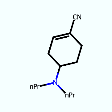 CCCN(CCC)C1CC=C(C#N)CC1